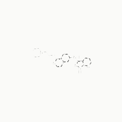 c1cnc2[nH]nc(Nc3ccc4c(OCCN5CCOCC5)nccc4c3)c2c1